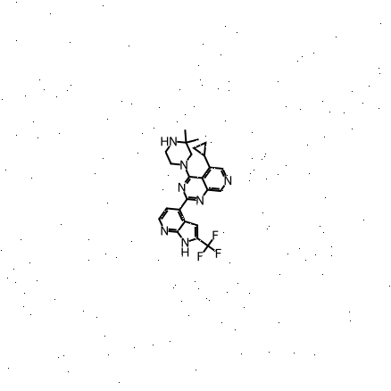 CC1(C)CN(c2nc(-c3ccnc4[nH]c(C(F)(F)F)cc34)nc3cncc(C4CC4)c23)CCN1